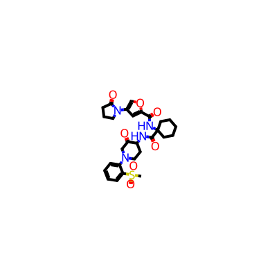 CS(=O)(=O)c1ccccc1N1CCC(NC(=O)C2(NC(=O)c3cc(N4CCCC4=O)co3)CCCCC2)C(=O)C1